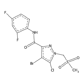 CS(=O)(=O)Cn1nc(C(=O)Nc2ccc(F)cc2F)c(Br)c1Cl